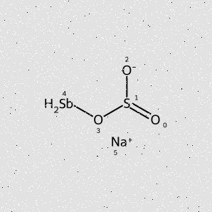 O=S([O-])[O][SbH2].[Na+]